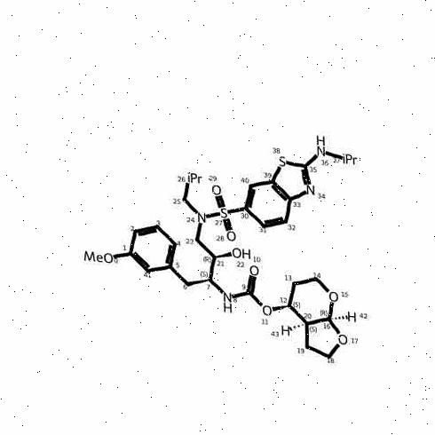 COc1cccc(C[C@H](NC(=O)O[C@H]2CCO[C@H]3OCC[C@H]32)[C@H](O)CN(CC(C)C)S(=O)(=O)c2ccc3nc(NC(C)C)sc3c2)c1